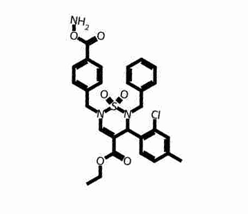 CCOC(=O)C1=CN(Cc2ccc(C(=O)ON)cc2)S(=O)(=O)N(Cc2ccccc2)C1c1ccc(C)cc1Cl